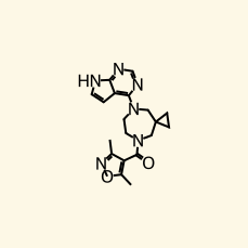 Cc1noc(C)c1C(=O)N1CCN(c2ncnc3[nH]ccc23)CC2(CC2)C1